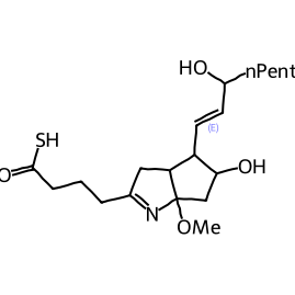 CCCCCC(O)/C=C/C1C(O)CC2(OC)N=C(CCCC(=O)S)CC12